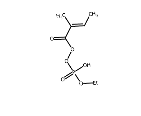 CC=C(C)C(=O)OOP(=O)(O)OCC